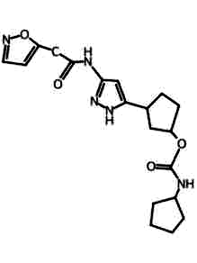 O=C(Cc1ccno1)Nc1cc(C2CCC(OC(=O)NC3CCCC3)C2)[nH]n1